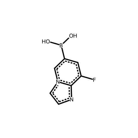 OB(O)c1cc(F)c2nccn2c1